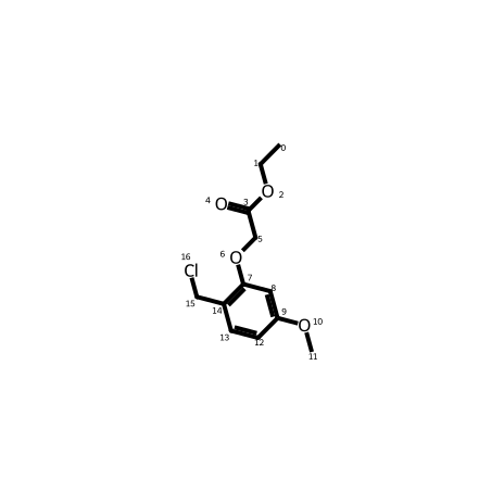 CCOC(=O)COc1cc(OC)ccc1CCl